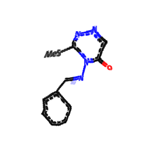 CSc1nncc(=O)n1/N=C/c1ccccc1